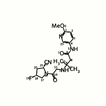 COc1ccc(NC(=O)CC(C)(C)NCC(=O)N2C[C@@H](F)C[C@H]2C#N)cn1